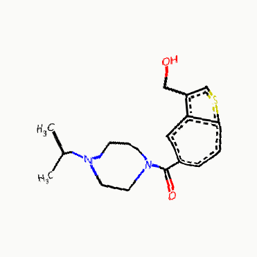 CC(C)N1CCN(C(=O)c2ccc3scc(CO)c3c2)CC1